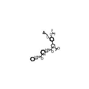 CC(=O)N1CC(c2ccc(OC(F)F)c(OCC3CC3)c2)C[C@@H]1C(=O)NCc1cccc(C(=O)NCc2ccccc2)n1